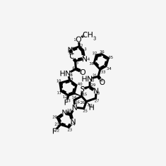 COc1cnc(C(=O)Nc2ccc(F)c([C@]34CN(c5ncc(F)cn5)C[C@@H]3CN=C(NC(=O)c3ccccc3)S4)c2)cn1